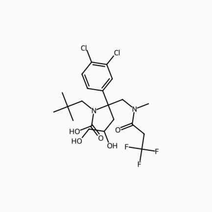 CN(CC(CC(O)CO)(c1ccc(Cl)c(Cl)c1)N(CC(C)(C)C)C(=O)O)C(=O)CC(F)(F)F